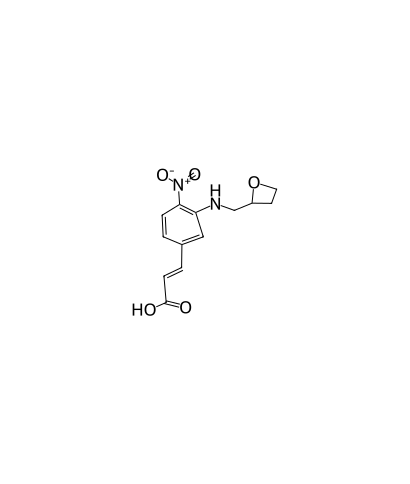 O=C(O)/C=C/c1ccc([N+](=O)[O-])c(NCC2CCO2)c1